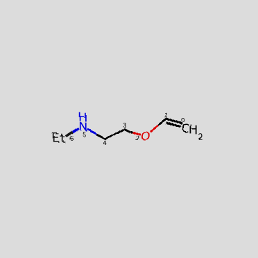 C=COCCNCC